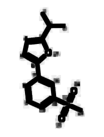 CC(C)c1ccc(-c2cccc(S(C)(=O)=O)c2)o1